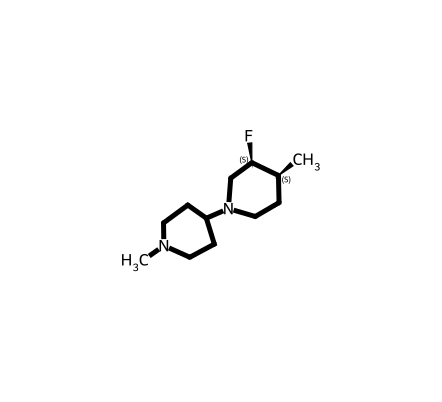 C[C@H]1CCN(C2CCN(C)CC2)C[C@H]1F